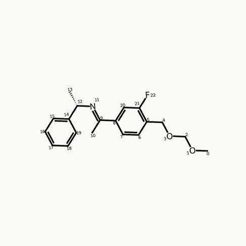 COCOCc1ccc(/C(C)=N/[C@@H](C)c2ccccc2)cc1F